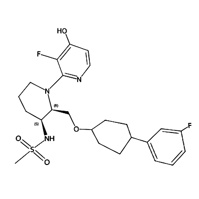 CS(=O)(=O)N[C@H]1CCCN(c2nccc(O)c2F)[C@H]1COC1CCC(c2cccc(F)c2)CC1